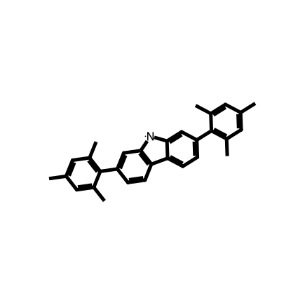 Cc1cc(C)c(-c2ccc3c(c2)[N]c2cc(-c4c(C)cc(C)cc4C)ccc2-3)c(C)c1